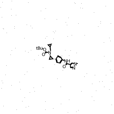 Cn1cc(C(=O)Nc2ccc([C@@H]3C[C@H]3N(CC3CC3)C(=O)OC(C)(C)C)cc2)cn1